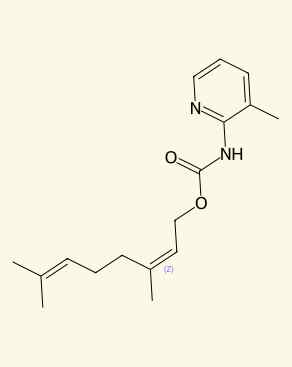 CC(C)=CCC/C(C)=C\COC(=O)Nc1ncccc1C